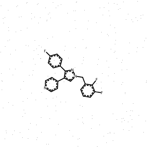 Fc1ccc(-c2nn(Cc3cccc(F)c3F)cc2-c2ccncc2)cc1